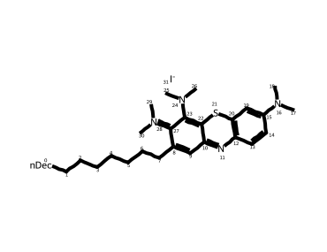 CCCCCCCCCCCCCCCCCc1cc2nc3ccc(N(C)C)cc3sc-2c(N(C)C)c1=[N+](C)C.[I-]